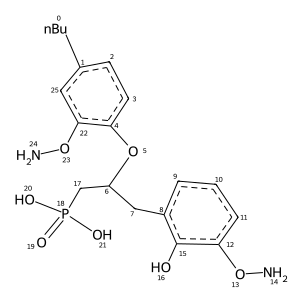 CCCCc1ccc(OC(Cc2cccc(ON)c2O)CP(=O)(O)O)c(ON)c1